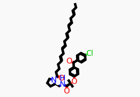 CCC=CCC=CCC=CCC=CCC=CCCCC(=O)N1CCC[C@@H]1CNC(=O)C(C)(C)Oc1ccc(C(=O)c2ccc(Cl)cc2)cc1